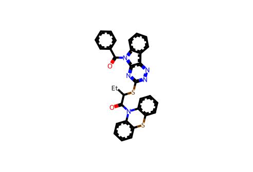 CCC(Sc1nnc2c3ccccc3n(C(=O)c3ccccc3)c2n1)C(=O)N1c2ccccc2Sc2ccccc21